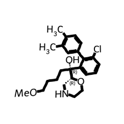 COCCCC[C@@](O)(c1cccc(Cl)c1-c1ccc(C)c(C)c1)[C@H]1CNCCO1